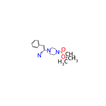 CC(C)(C)OC(=O)N1CCN(C(C#N)=Cc2ccccc2)CC1